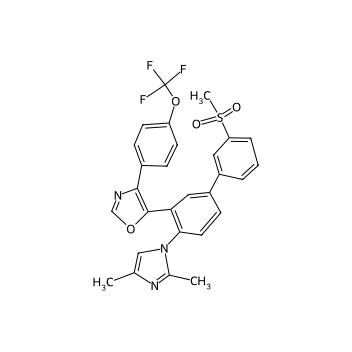 Cc1cn(-c2ccc(-c3cccc(S(C)(=O)=O)c3)cc2-c2ocnc2-c2ccc(OC(F)(F)F)cc2)c(C)n1